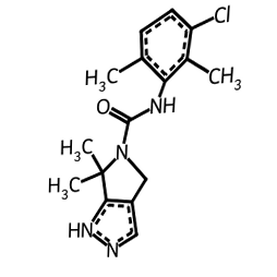 Cc1ccc(Cl)c(C)c1NC(=O)N1Cc2cn[nH]c2C1(C)C